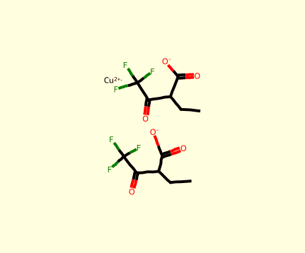 CCC(C(=O)[O-])C(=O)C(F)(F)F.CCC(C(=O)[O-])C(=O)C(F)(F)F.[Cu+2]